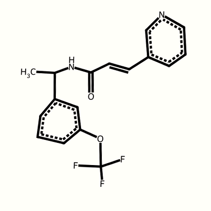 CC(NC(=O)C=Cc1cccnc1)c1cccc(OC(F)(F)F)c1